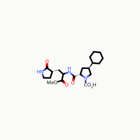 COC(=O)C(C[C@@H]1CCNC1=O)NC(=O)[C@@H]1C[C@@H](C2CCCCC2)CN1C(=O)O